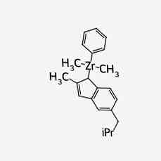 CC1=Cc2cc(CC(C)C)ccc2[CH]1[Zr]([CH3])([CH3])[c]1ccccc1